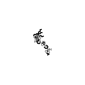 CCCCN(OS(=O)(=O)ON1C(=O)N2C[C@@H]1CC[C@H]2c1nnc(N2CCC(NC(=O)OC(C)(C)C)CC2)o1)C(CCC)(CCCC)CCCC